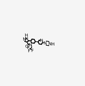 O=c1c2cn[nH]c2c2ccc(-c3ccc(N4CCNCC4)nc3)cc2n1CC(F)(F)F